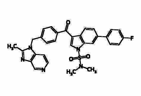 Cc1nc2cnccc2n1Cc1ccc(C(=O)c2cn(S(=O)(=O)N(C)C)c3cc(-c4ccc(F)cc4)ccc23)cc1